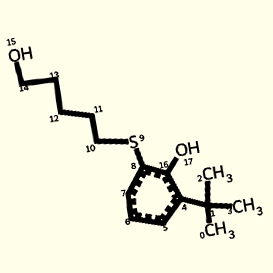 CC(C)(C)c1cccc(SCCCCCO)c1O